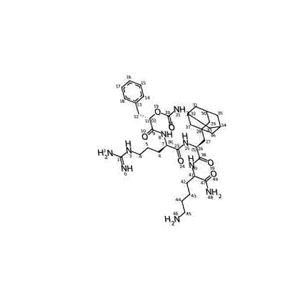 N=C(N)NCCC[C@@H](NC(=O)[C@H](Cc1ccccc1)OC(N)=O)C(=O)N[C@@H](CC12CC3CC(CC(C3)C1)C2)C(=O)NC(CCCCN)C(N)=O